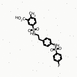 Cc1ccc(S(=O)(=O)NCCc2ccc(NS(=O)(=O)c3ccc(F)cc3)cc2)cc1C(=O)O